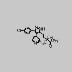 CC(C)(CCc1[nH]nc(-c2ccc(Cl)cc2)c1-c1ccncc1)C(=O)O